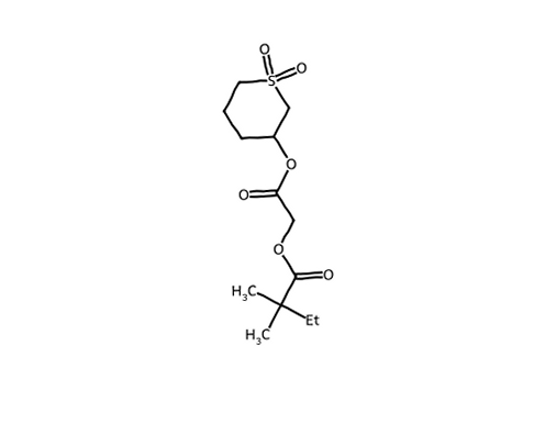 CCC(C)(C)C(=O)OCC(=O)OC1CCCS(=O)(=O)C1